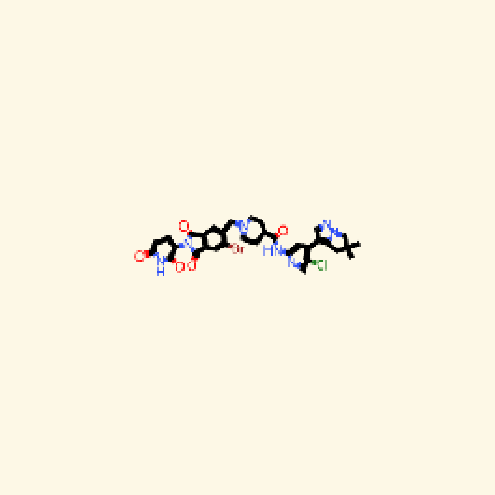 CC1(C)Cc2c(-c3cc(NC(=O)C4CCN(Cc5cc6c(cc5Br)C(=O)N(C5CCC(=O)NC5=O)C6=O)CC4)ncc3Cl)cnn2C1